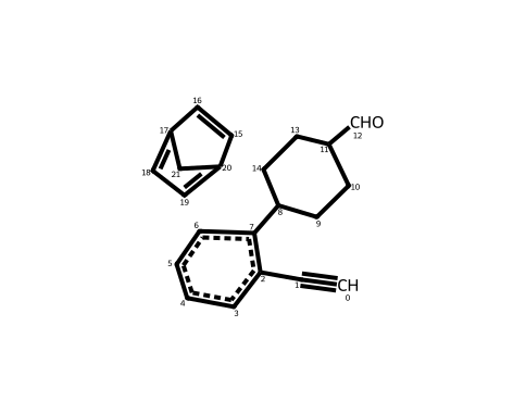 C#Cc1ccccc1C1CCC(C=O)CC1.C1=CC2=CC=C1C2